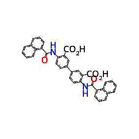 O=C(O)c1cc(-c2ccc(NC(=O)c3cccc4ccccc34)c(C(=O)O)c2)ccc1NC(=O)c1cccc2ccccc12